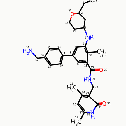 CCC1CC(Nc2cc(-c3ccc(CN)cc3)cc(C(=O)NCc3c(C)cc(C)[nH]c3=O)c2C)CCO1